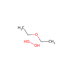 CCOCC.OO